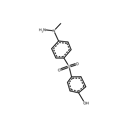 CN(N)c1ccc(S(=O)(=O)c2ccc(O)cc2)cc1